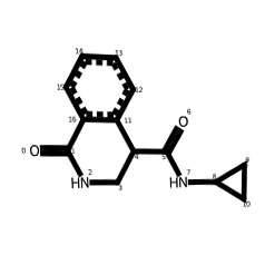 O=C1NCC(C(=O)NC2CC2)c2ccccc21